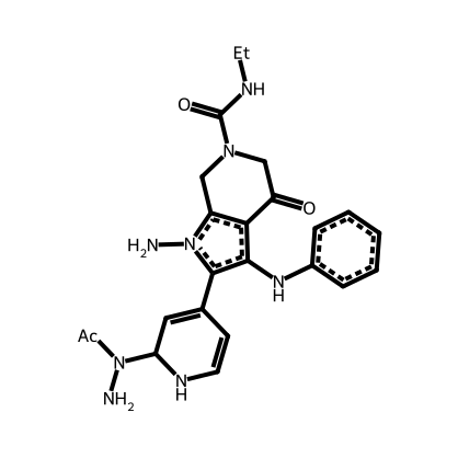 CCNC(=O)N1CC(=O)c2c(Nc3ccccc3)c(C3=CC(N(N)C(C)=O)NC=C3)n(N)c2C1